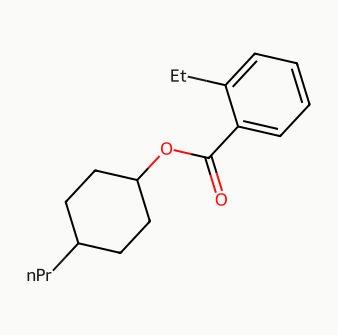 CCCC1CCC(OC(=O)c2ccccc2CC)CC1